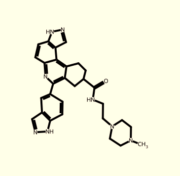 CN1CCN(CCNC(=O)C2CCc3c(c(-c4ccc5[nH]ncc5c4)nc4ccc5[nH]ncc5c34)C2)CC1